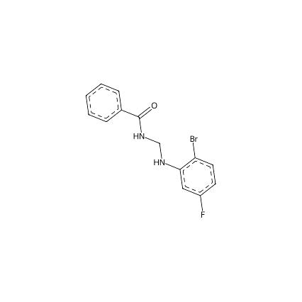 O=C(NCNc1cc(F)ccc1Br)c1ccccc1